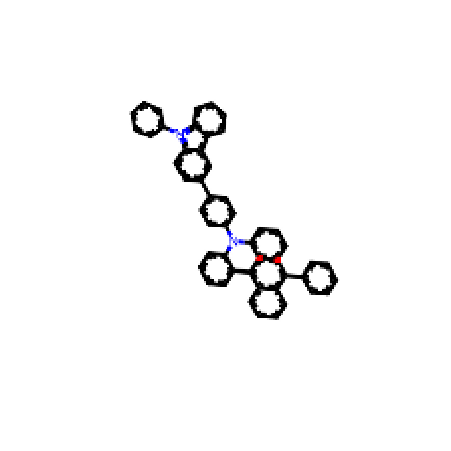 c1ccc(-c2ccc(-c3ccccc3N(c3ccccc3)c3ccc(-c4ccc5c(c4)c4ccccc4n5-c4ccccc4)cc3)c3ccccc23)cc1